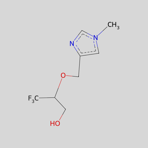 Cn1cnc(COC(CO)C(F)(F)F)c1